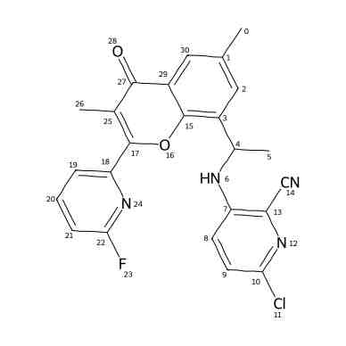 Cc1cc(C(C)Nc2ccc(Cl)nc2C#N)c2oc(-c3cccc(F)n3)c(C)c(=O)c2c1